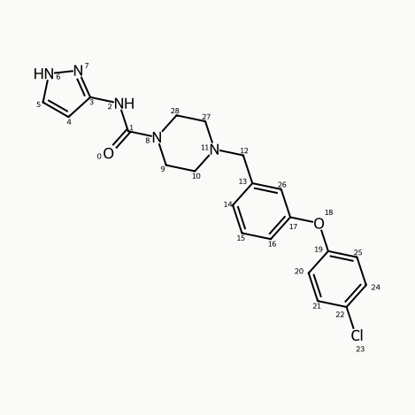 O=C(Nc1cc[nH]n1)N1CCN(Cc2cccc(Oc3ccc(Cl)cc3)c2)CC1